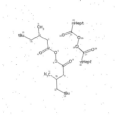 CC(CC(=O)OOC(=O)CC(C)CC(C)(C)C)CC(C)(C)C.CCCCCCCC(=O)OOC(=O)CCCCCCC